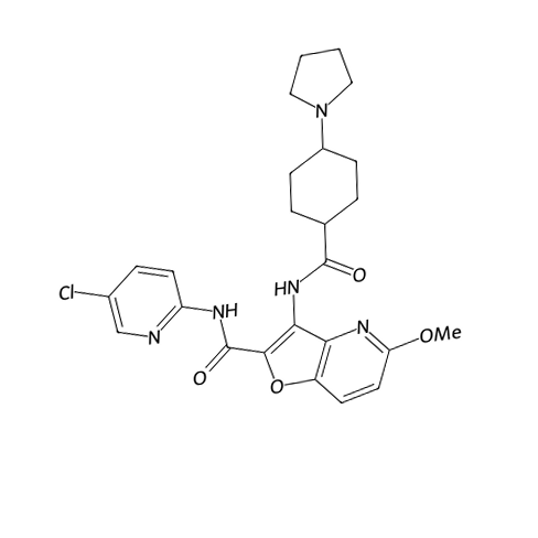 COc1ccc2oc(C(=O)Nc3ccc(Cl)cn3)c(NC(=O)C3CCC(N4CCCC4)CC3)c2n1